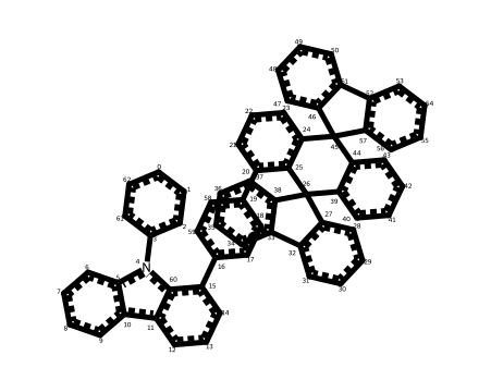 c1ccc(-n2c3ccccc3c3cccc(-c4ccc(-c5cccc6c5C5(c7ccccc7-c7ccccc75)c5ccccc5C65c6ccccc6-c6ccccc65)cc4)c32)cc1